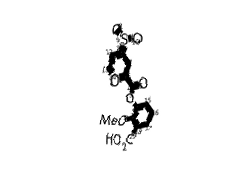 COc1c(OC(=O)c2cc(=S(=O)=O)cco2)cccc1C(=O)O